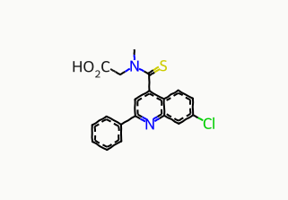 CN(CC(=O)O)C(=S)c1cc(-c2ccccc2)nc2cc(Cl)ccc12